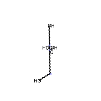 O=C(/C=C(\CO)[C@H](O)/C=C/CCCCCCCCCCCCO)CCCCCCCCCCCCC/C=C\CCCCCCCO